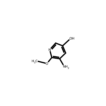 COc1ncc(O)cc1N